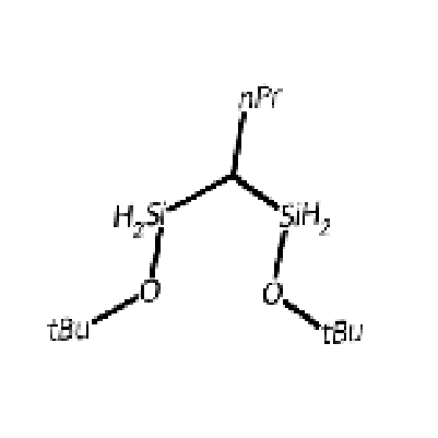 CCCC([SiH2]OC(C)(C)C)[SiH2]OC(C)(C)C